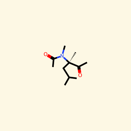 CC(=O)N(C)[C@](C)(CC(C)C)C(C)=O